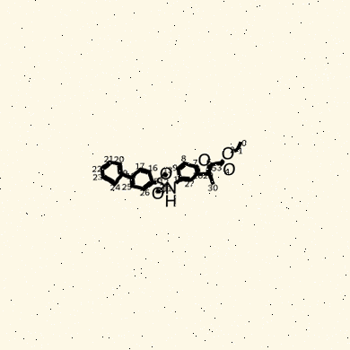 CCOC(=O)c1oc2ccc(NS(=O)(=O)c3ccc(-c4ccccc4)cc3)cc2c1C